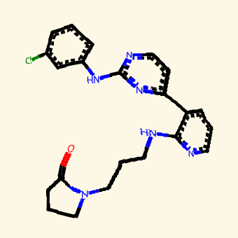 O=C1CCCN1CCCNc1ncccc1-c1ccnc(Nc2cccc(Cl)c2)n1